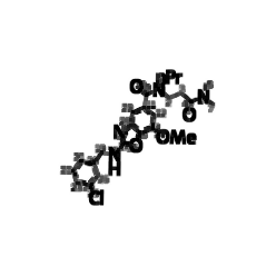 CCCN(CCC(=O)N(C)C)C(=O)c1cc(OC)c2oc(NCc3cccc(Cl)c3)nc2c1